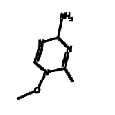 CON1C=NC(N)N=C1C